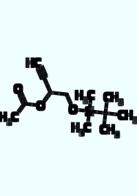 C#CC(CO[Si](C)(C)C(C)(C)C)OC(C)=O